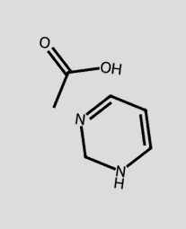 C1=CNCN=C1.CC(=O)O